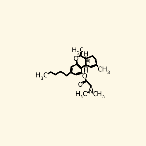 C=C1Oc2cc(CCCCC)cc(OC(=O)CN(C)C)c2[C@@H]2C=C(C)CC[C@@H]12